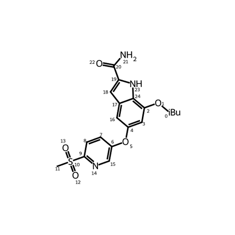 CCC(C)Oc1cc(Oc2ccc(S(C)(=O)=O)nc2)cc2cc(C(N)=O)[nH]c12